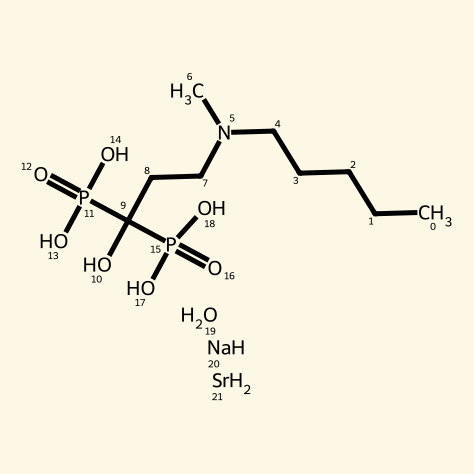 CCCCCN(C)CCC(O)(P(=O)(O)O)P(=O)(O)O.O.[NaH].[SrH2]